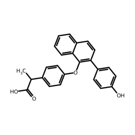 CC(C(=O)O)c1ccc(Oc2c(-c3ccc(O)cc3)ccc3ccccc23)cc1